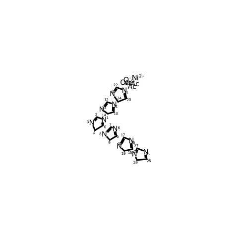 C1=NC=NC1.C1=NC=NC1.C1=NC=NC1.C1=NC=NC1.C1=NC=NC1.C1=NC=NC1.CC(=O)[O-].CC(=O)[O-].[Ni+2]